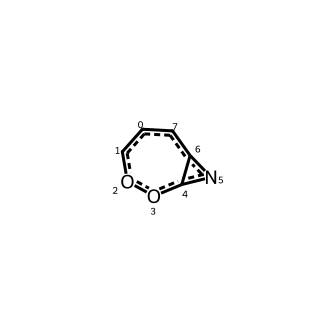 c1cooc2nc-2c1